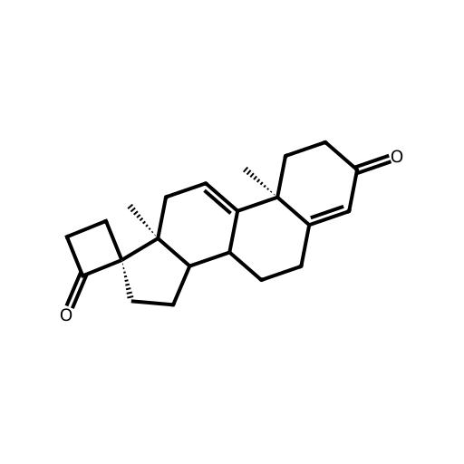 C[C@]12CCC(=O)C=C1CCC1C2=CC[C@@]2(C)C1CC[C@]21CCC1=O